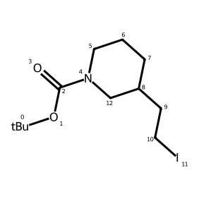 CC(C)(C)OC(=O)N1CCCC(CCI)C1